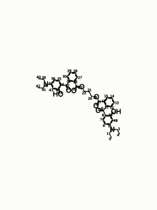 CCN(CC)c1ccc(C(=O)c2ccccc2C(=O)OCCCOC(=O)c2ccccc2C(=O)c2ccc(N(CC)CC)cc2O)c(O)c1